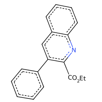 CCOC(=O)c1nc2ccccc2cc1-c1ccccc1